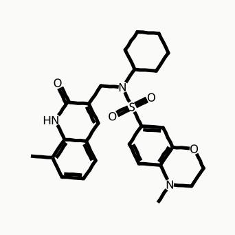 Cc1cccc2cc(CN(C3CCCCC3)S(=O)(=O)c3ccc4c(c3)OCCN4C)c(=O)[nH]c12